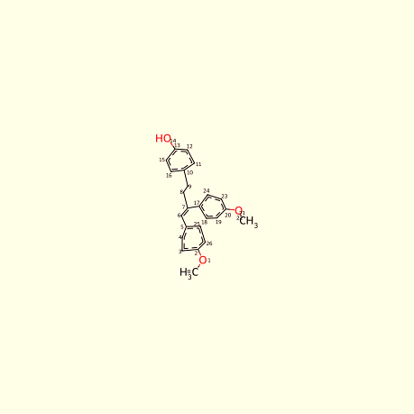 COc1ccc(C=C(CCc2ccc(O)cc2)c2ccc(OC)cc2)cc1